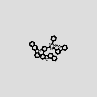 c1ccc(C2N=C(c3ccc(-n4c5ccccc5c5cc6ccccc6cc54)c(-c4cccc5oc6c7ccccc7ccc6c45)c3)N=C(c3cccc4c3oc3ccccc34)N2)cc1